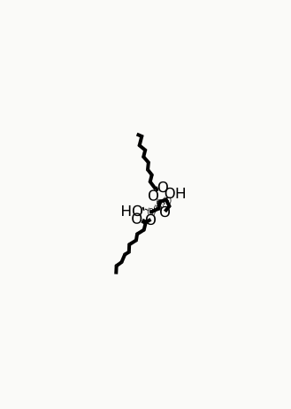 CCCCCCCCCC(=O)O[C@H]1[C@@H]([C@@H](CO)OC(=O)CCCCCCCCC)OC[C@@H]1O